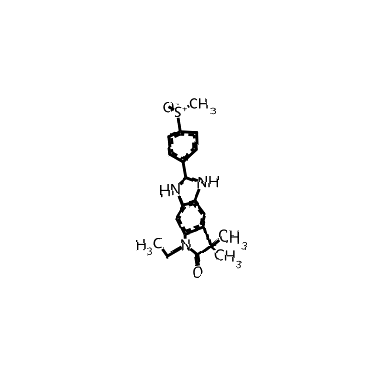 CCN1C(=O)C(C)(C)c2cc3c(cc21)NC(c1ccc([S+](C)[O-])cc1)N3